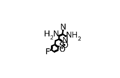 N#Cc1c(N)nc2c(c1N)Cc1cc(F)ccc1S2(=O)=O